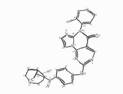 O=c1c2cnc(Nc3ccc(N[C@H]4CN5CCC4CC5)cc3)nc2n2ccnc2n1-c1ccccc1Cl